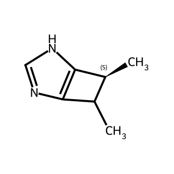 CC1c2nc[nH]c2[C@H]1C